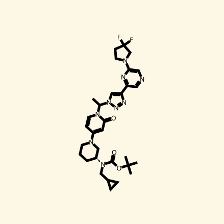 CC(n1cc(-c2cncc(N3CCC(F)(F)C3)n2)nn1)n1ccc(N2CCC[C@@H](N(CC3CC3)C(=O)OC(C)(C)C)C2)cc1=O